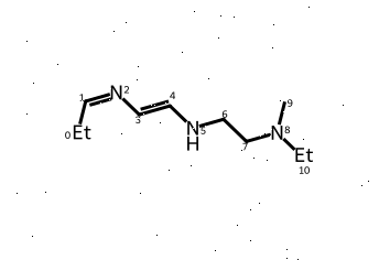 CC/C=N\C=C\NCCN(C)CC